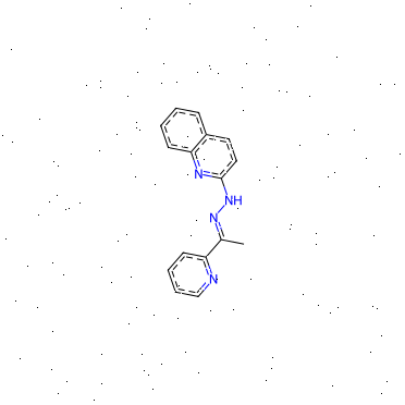 C/C(=N\Nc1ccc2ccccc2n1)c1ccccn1